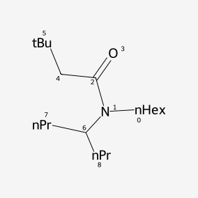 CCCCCCN(C(=O)CC(C)(C)C)C(CCC)CCC